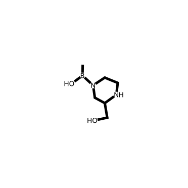 CB(O)N1CCNC(CO)C1